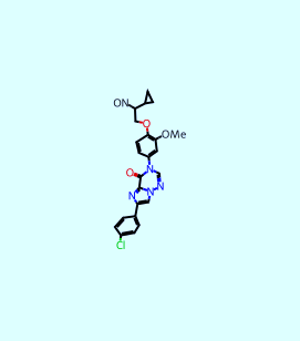 COc1cc(-n2cnn3cc(-c4ccc(Cl)cc4)nc3c2=O)ccc1OCC(N=O)C1CC1